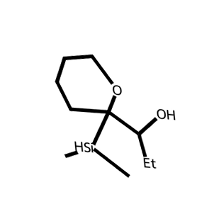 [CH2]CC(O)C1([SiH](C)C)CCCCO1